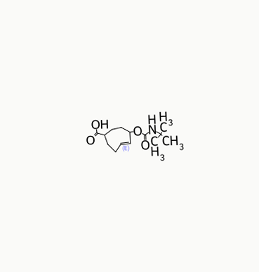 CC(C)(C)NC(=O)OC1/C=C/CCC(C(=O)O)CC1